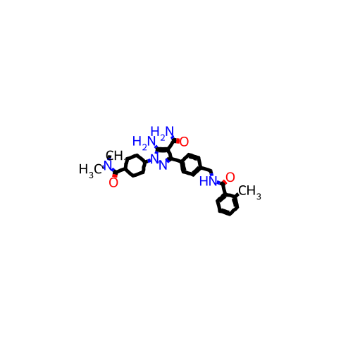 Cc1ccccc1C(=O)NCc1ccc(-c2nn(C3CCC(C(=O)N(C)C)CC3)c(N)c2C(N)=O)cc1